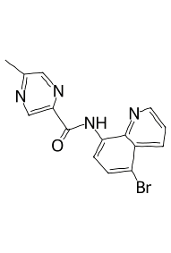 Cc1cnc(C(=O)Nc2ccc(Br)c3cccnc23)cn1